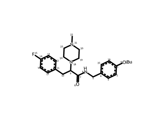 CC(C)COc1ccc(CNC(=O)C(Cc2ccc(F)cc2)N2CCN(C)CC2)cc1